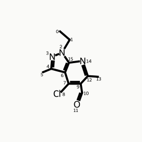 CCn1nc(C)c2c(Cl)c(C=O)c(C)nc21